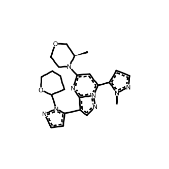 C[C@@H]1COCCN1c1cc(-c2ccnn2C)n2ncc(-c3ccnn3C3CCCCO3)c2n1